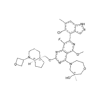 COc1nc(-c2c(Cl)c(C)cc3[nH]ncc23)c(F)c2nc(OC[C@]34CCC[C@H]3N(C3COC3)CCC4)nc(N3CCOC[C@@](C)(O)C3)c12